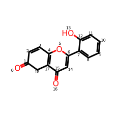 O=C1C=Cc2oc(-c3ccccc3O)cc(=O)c2C1